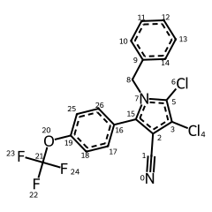 N#Cc1c(Cl)c(Cl)n(Cc2ccccc2)c1-c1ccc(OC(F)(F)F)cc1